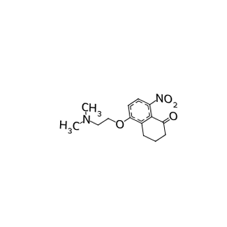 CN(C)CCOc1ccc([N+](=O)[O-])c2c1CCCC2=O